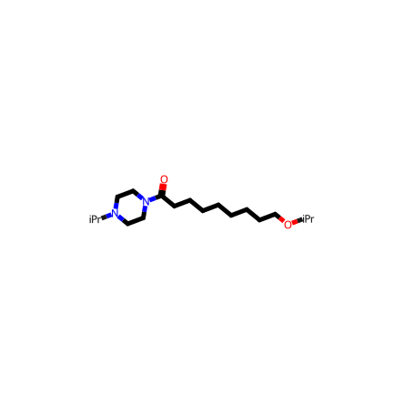 CC(C)OCCCCCCCCC(=O)N1CCN(C(C)C)CC1